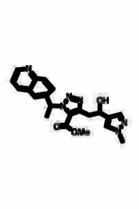 COC(=O)c1c(CC(O)c2cnn(C)c2)nnn1C(C)c1ccc2ncccc2c1